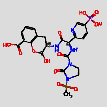 CS(=O)(=O)N1CCN(C(=O)N[C@@H](C(=O)N[C@H]2Cc3cccc(C(=O)O)c3OB2O)c2ccc(P(=O)(O)O)cn2)C1=O